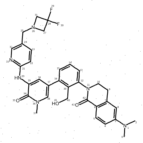 CN(C)c1ccc2c(c1)CCN(c1cccc(-c3cc(Nc4ccc(CN5CC(F)(F)C5)cn4)c(=O)n(C)c3)c1CO)C2=O